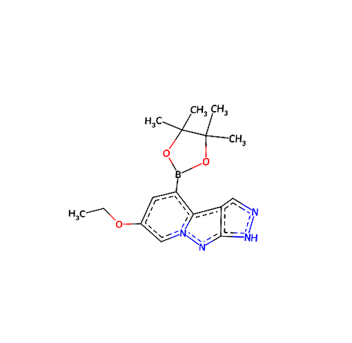 CCOc1cc(B2OC(C)(C)C(C)(C)O2)c2c3cn[nH]c3nn2c1